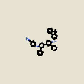 CC1(C)c2ccccc2-c2cc(Nc3ccc(-c4ccc(Nc5ccc(C#N)cc5)c(-c5ccccc5)c4)cc3-c3ccccc3)ccc21